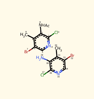 CC(=O)Nc1c(Cl)ncc(Br)c1C.Cc1c(Br)cnc(Cl)c1N